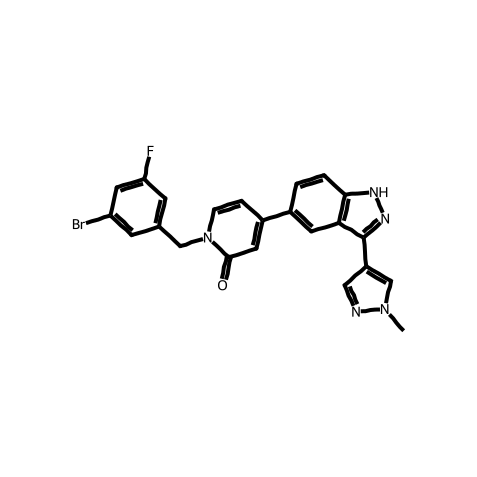 Cn1cc(-c2n[nH]c3ccc(-c4ccn(Cc5cc(F)cc(Br)c5)c(=O)c4)cc23)cn1